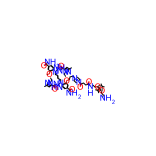 CCn1nc(C)cc1C(=O)/N=c1\[nH]c2cc(C(N)=O)cc(OC)c2n1C/C=C/Cn1/c(=N/C(=O)c2cc(C)nn2CC)[nH]c2cc(C(N)=O)cc(OCCCN3CCN(C(=O)CCC(=O)NCCO[Si](OCCN)(C(C)C)C(C)C)CC3)c21